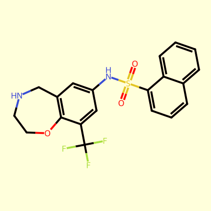 O=S(=O)(Nc1cc2c(c(C(F)(F)F)c1)OCCNC2)c1cccc2ccccc12